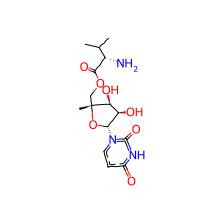 CC(C)[C@H](N)C(=O)OC[C@@]1(C)O[C@@H](n2ccc(=O)[nH]c2=O)[C@H](O)[C@@H]1O